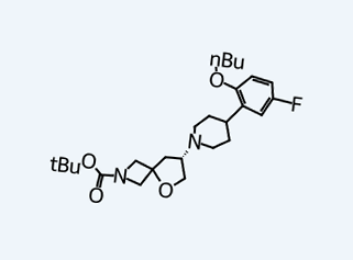 CCCCOc1ccc(F)cc1C1CCN([C@@H]2COC3(C2)CN(C(=O)OC(C)(C)C)C3)CC1